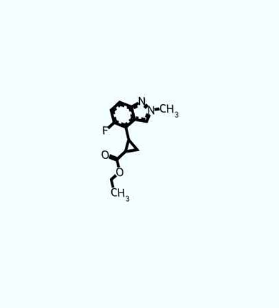 CCOC(=O)C1CC1c1c(F)ccc2nn(C)cc12